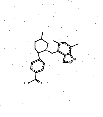 Cc1cc(C)c2[nH]ccc2c1CN1CC(C)CCC1c1ccc(C(=O)O)cc1